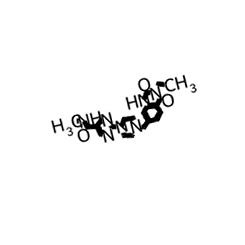 CCn1c(=O)[nH]c2cc(CN3CCN(c4ncc(C(=O)NC)cn4)CC3)ccc2c1=O